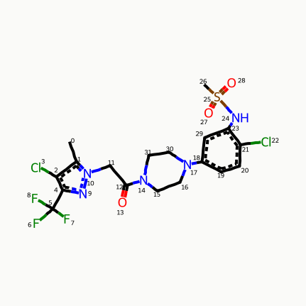 Cc1c(Cl)c(C(F)(F)F)nn1CC(=O)N1CCN(c2ccc(Cl)c(NS(C)(=O)=O)c2)CC1